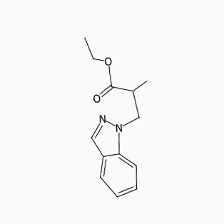 CCOC(=O)C(C)Cn1ncc2ccccc21